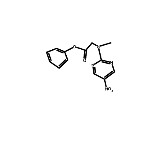 CN(CC(=O)Oc1ccccc1)c1ncc([N+](=O)[O-])cn1